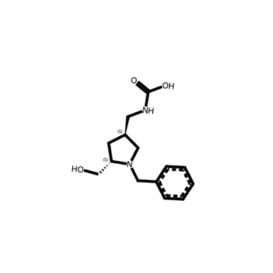 O=C(O)NC[C@@H]1C[C@@H](CO)N(Cc2ccccc2)C1